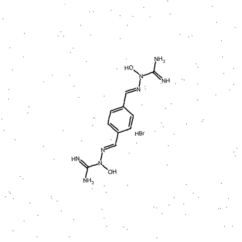 Br.N=C(N)N(O)/N=C/c1ccc(/C=N/N(O)C(=N)N)cc1